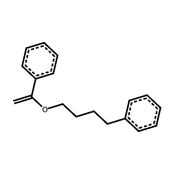 C=C(OCCCCc1ccccc1)c1ccccc1